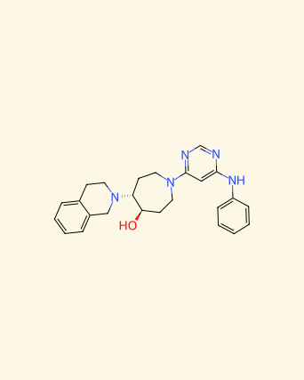 O[C@@H]1CCN(c2cc(Nc3ccccc3)ncn2)CC[C@H]1N1CCc2ccccc2C1